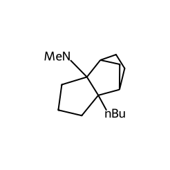 CCCCC12CCCC1(NC)C1CCC2C1